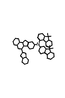 CC1(C)C2CCCCC2C2CCC(N(C3CCC4C(CC5C6CCCCC6CC(C6CC7CCCCC7C6)C45)C3)C3CCCC4C3C3CCCCC3C4(C)C)CC21